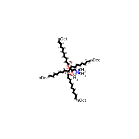 CCCCCCCCC=CCCCCCCCC(=O)OC(C[N+](C)(C)C)C(CCCCCCCCCCCCCCCCCC)(CCCCCCCCCCCCCCCCCC)OC(=O)CCCCCCCC=CCCCCCCCC